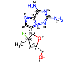 C[C@@]1(F)C[C@@H](CO)O[C@H]1c1cnc2c(N)nc(N)nn12